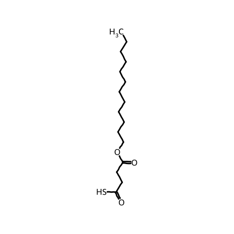 CCCCCCCCCCCCOC(=O)CCC(=O)S